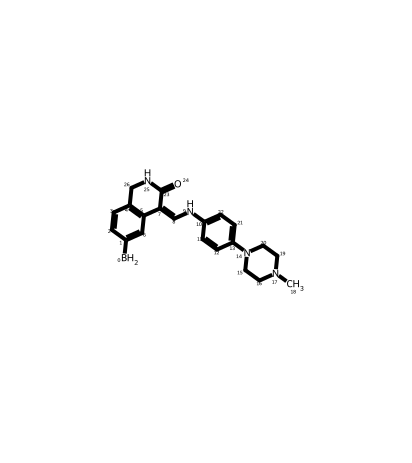 Bc1ccc2c(c1)/C(=C/Nc1ccc(N3CCN(C)CC3)cc1)C(=O)NC2